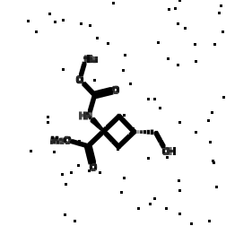 COC(=O)[C@]1(NC(=O)OC(C)(C)C)C[C@H](CO)C1